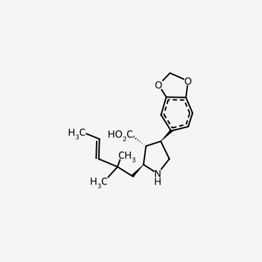 CC=CC(C)(C)C[C@@H]1NC[C@H](c2ccc3c(c2)OCO3)[C@H]1C(=O)O